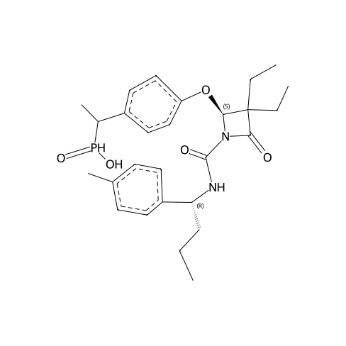 CCC[C@@H](NC(=O)N1C(=O)C(CC)(CC)[C@@H]1Oc1ccc(C(C)[PH](=O)O)cc1)c1ccc(C)cc1